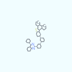 c1ccc(-c2nc(-c3cccc(-c4cccc(-c5ccc6sc7c8ccccc8c8ccccc8c7c6c5)c4)c3)nc3ccccc23)cc1